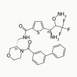 NOC([C@@H](N)c1ccc(C(=O)NC[C@H]2COCCN2C(=O)c2cccc(-c3ccccc3)c2)s1)C(F)(F)F